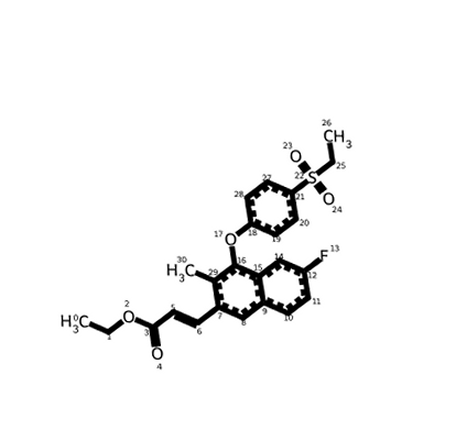 CCOC(=O)/C=C/c1cc2ccc(F)cc2c(Oc2ccc(S(=O)(=O)CC)cc2)c1C